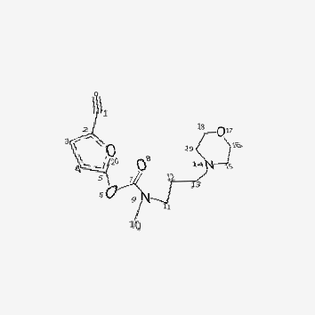 C#Cc1ccc(OC(=O)N(C)CCCN2CCOCC2)o1